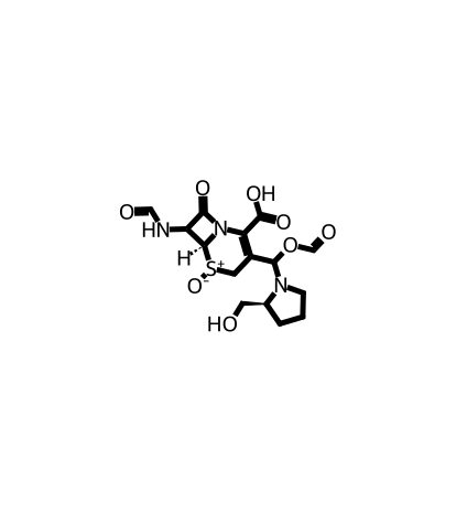 O=CNC1C(=O)N2C(C(=O)O)=C(C(OC=O)N3CCC[C@H]3CO)C[S+]([O-])[C@@H]12